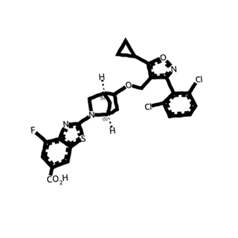 O=C(O)c1cc(F)c2nc(N3C[C@@H]4C[C@H]3CC4OCc3c(-c4c(Cl)cccc4Cl)noc3C3CC3)sc2c1